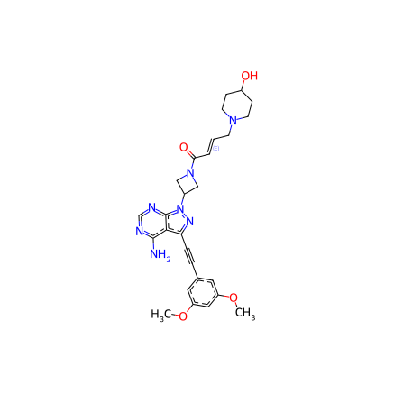 COc1cc(C#Cc2nn(C3CN(C(=O)/C=C/CN4CCC(O)CC4)C3)c3ncnc(N)c23)cc(OC)c1